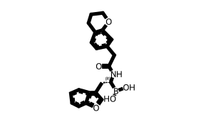 O=C(Cc1ccc2c(c1)OCCC2)N[C@@H](Cc1coc2ccccc12)B(O)O